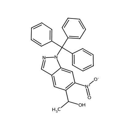 CC(O)c1cc2cnn(C(c3ccccc3)(c3ccccc3)c3ccccc3)c2cc1[N+](=O)[O-]